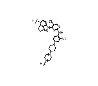 CCc1cc(N2CCC(N3CCN(C)CC3)CC2)ccc1Nc1ncc(Cl)c(N2SN3CCc4c(C)ccc2c43)n1